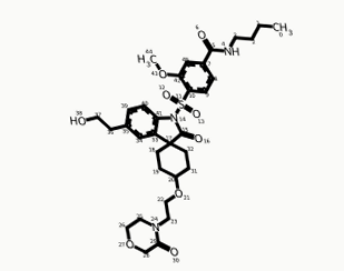 CCCCNC(=O)c1ccc(S(=O)(=O)N2C(=O)C3(CCC(OCCN4CCOCC4=O)CC3)c3cc(CCO)ccc32)c(OC)c1